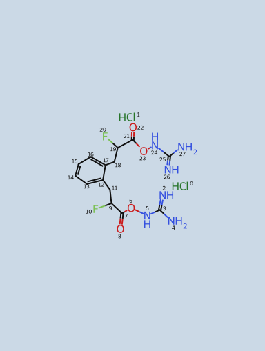 Cl.Cl.N=C(N)NOC(=O)C(F)Cc1ccccc1CC(F)C(=O)ONC(=N)N